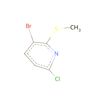 CSc1nc(Cl)ccc1Br